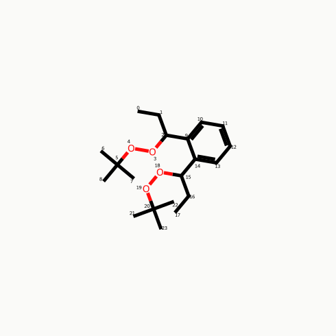 CCC(OOC(C)(C)C)c1ccccc1C(CC)OOC(C)(C)C